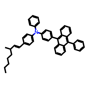 CCCCCC(C)C=Cc1ccc(N(c2ccccc2)c2ccc(-c3c4ccccc4c(-c4ccccc4)c4ccccc34)cc2)cc1